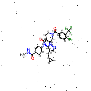 CNC(=O)C1C=CC(n2c(=O)c3c(n4ncc(CC5CC5)c24)CN(C(=O)c2ccc(Br)c(C(F)(F)F)c2)CC3)=CC1